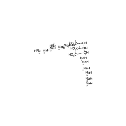 O=C(O)O.O=C(O)O.O=C(O)O.[NaH].[NaH].[NaH].[NaH].[NaH].[NaH].[NaH].[NaH].[NaH].[NaH].[NaH].[NaH].[NaH]